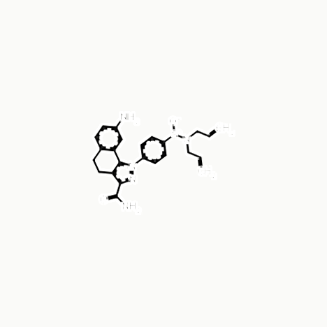 C=CCN(CC=C)[S+]([O-])c1ccc(-n2nc(C(N)=O)c3c2-c2cc(N)ccc2CC3)cc1